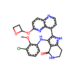 COc1c(Cl)cccc1Nc1c(-c2ccnc3ccc(OC4CCO4)nc23)[nH]c2c1C(=O)NCC2